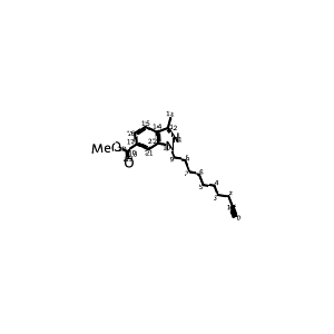 C#CCCCCCCCCn1nc(C)c2ccc(C(=O)OC)cc21